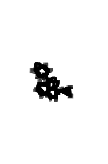 O=C(C1CC=CC2CCN(C3CC3)C(=O)C21)N1CCOCC1